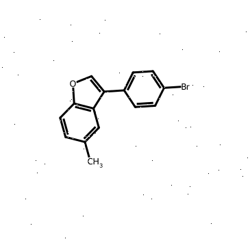 Cc1ccc2occ(-c3ccc(Br)cc3)c2c1